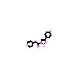 OC(Cc1ccncc1)N1C=C(c2ccc(F)cc2)ON1